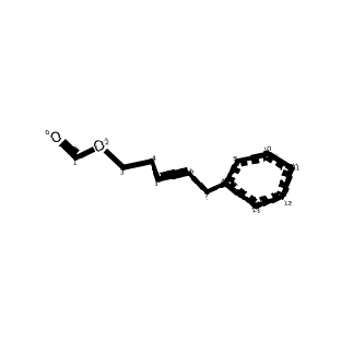 O=[C]OCCC=CCc1ccccc1